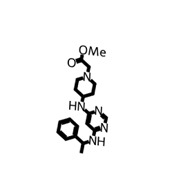 COC(=O)CN1CCC(Nc2cc(NC(C)c3ccccc3)ncn2)CC1